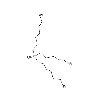 CC(C)CCCCCOP(=O)(CCCCCC(C)C)OCCCCCC(C)C